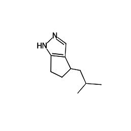 CC(C)CC1CCc2[nH]ncc21